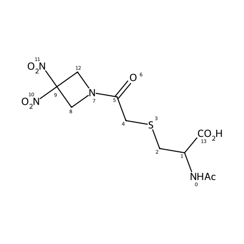 CC(=O)NC(CSCC(=O)N1CC([N+](=O)[O-])([N+](=O)[O-])C1)C(=O)O